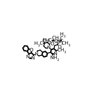 Cc1nc(N)c(-c2ccc3c(c2)CCN(c2ncnc4c2oc2ccccc24)C3)c(N2CCC(C)(C)CC2)c1[C@H](OC(C)(C)C)C(=O)OC(C)C